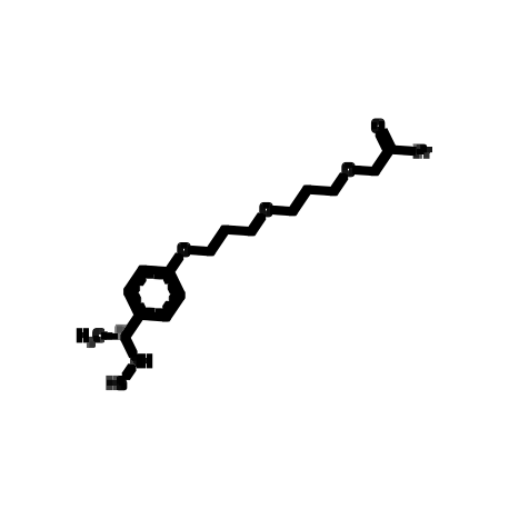 CC(C)C(=O)COCCCOCCCOc1ccc([C@@H](C)NS)cc1